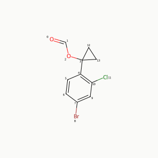 O=COC1(c2ccc(Br)cc2Cl)CC1